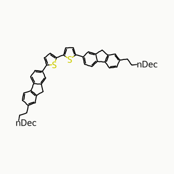 CCCCCCCCCCCCc1ccc2c(c1)Cc1cc(-c3ccc(-c4ccc(-c5ccc6c(c5)Cc5cc(CCCCCCCCCCCC)ccc5-6)s4)s3)ccc1-2